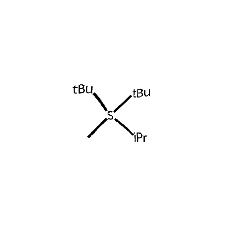 CC(C)S(C)(C(C)(C)C)C(C)(C)C